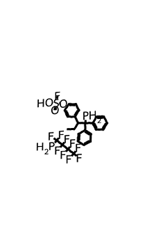 CCC(c1ccccc1)C(P)(c1ccccc1)c1ccccc1.FC(F)(F)C(F)(F)C(F)(F)C(F)(F)P.O=S(=O)(O)F